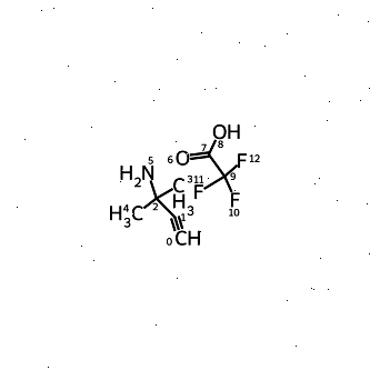 C#CC(C)(C)N.O=C(O)C(F)(F)F